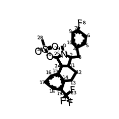 CN1C(Cc2ccc(F)cc2)C2CCc3c(cccc3C(F)(F)F)C2C1OS(C)(=O)=O